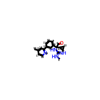 CNC(=N)NC(C=O)(c1cccc(-c2cc(C)ccn2)c1)C1CC1